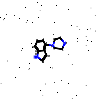 c1cc(N2CC[N]CC2)c2cc[nH]c2c1